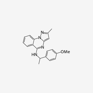 COc1ccc(C(C)Nc2nc3cc(C)nn3c3ccccc23)cc1